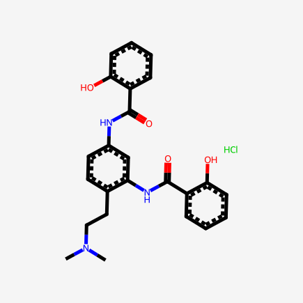 CN(C)CCc1ccc(NC(=O)c2ccccc2O)cc1NC(=O)c1ccccc1O.Cl